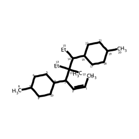 C/C=C\C(C1CCC(C)CC1)C(C)(CC)C(CC)C1CCC(C)CC1